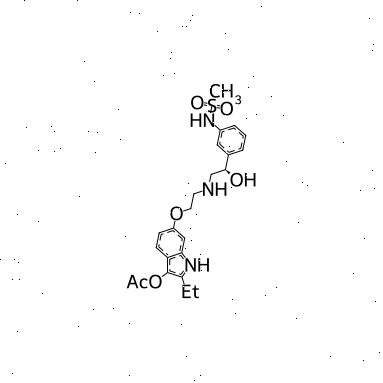 CCc1[nH]c2cc(OCCNC[C@H](O)c3cccc(NS(C)(=O)=O)c3)ccc2c1OC(C)=O